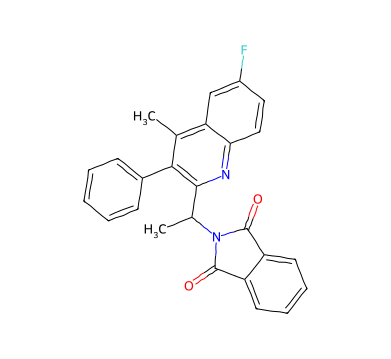 Cc1c(-c2ccccc2)c(C(C)N2C(=O)c3ccccc3C2=O)nc2ccc(F)cc12